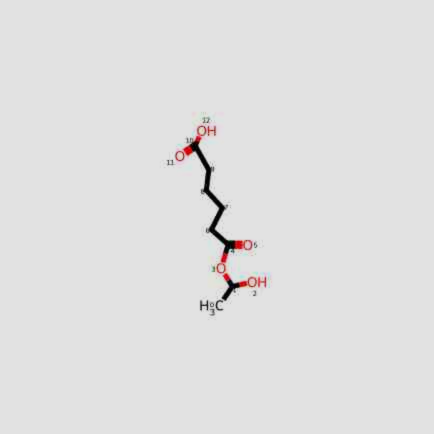 CC(O)OC(=O)CCCCC(=O)O